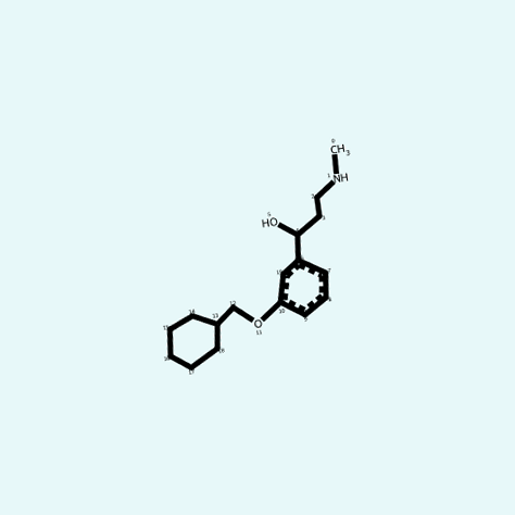 CNCCC(O)c1cccc(OCC2CCCCC2)c1